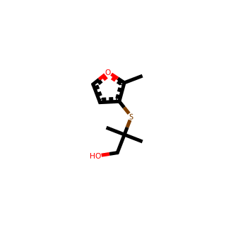 Cc1occc1SC(C)(C)CO